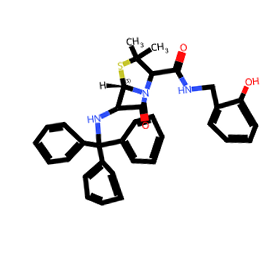 CC1(C)S[C@H]2C(NC(c3ccccc3)(c3ccccc3)c3ccccc3)C(=O)N2C1C(=O)NCc1ccccc1O